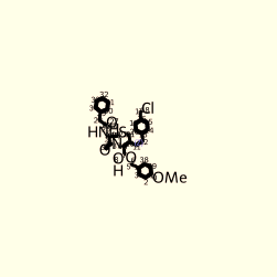 COc1ccc(COC(O)C2=C(/C=C\c3ccc(CCl)cc3)CS[C@H]3[C@H](NC(=O)Cc4ccccc4)C(=O)N23)cc1